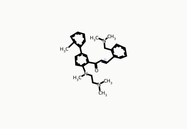 Cc1ccccc1-c1ccc(N(C)CCN(C)C)c(C(=O)/C=C/c2ccccc2CN(C)C)c1